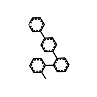 Cc1ccccc1-c1ccccc1-c1ccc(-c2cccnc2)cc1